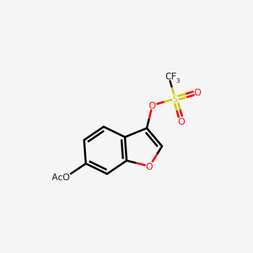 CC(=O)Oc1ccc2c(OS(=O)(=O)C(F)(F)F)coc2c1